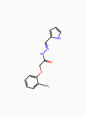 Cc1ccccc1OCC(=O)N/N=C/c1ccc[nH]1